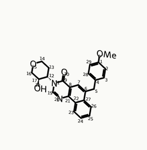 COc1ccc(Cc2cc3c(=O)n([C@H]4CCOC[C@@H]4O)cnc3c3ccccc23)cc1